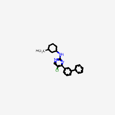 O=C(O)C1CCCC(Nc2ncc(Cl)c(-c3cccc(-c4ccccc4)c3)n2)C1